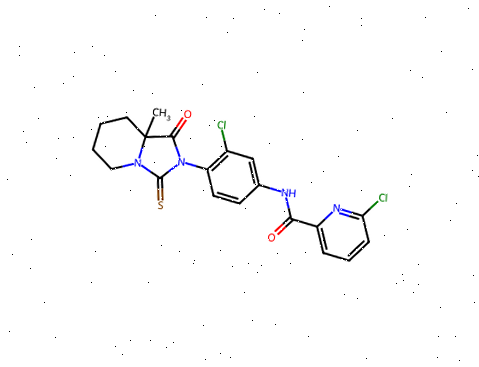 CC12CCCCN1C(=S)N(c1ccc(NC(=O)c3cccc(Cl)n3)cc1Cl)C2=O